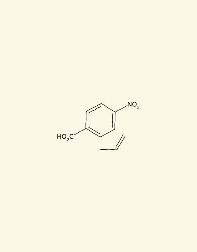 C=CC.O=C(O)c1ccc([N+](=O)[O-])cc1